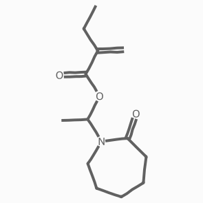 C=C(CC)C(=O)OC(C)N1CCCCCC1=O